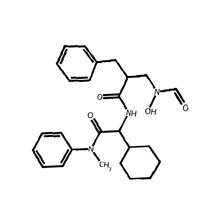 CN(C(=O)C(NC(=O)C(Cc1ccccc1)CN(O)C=O)C1CCCCC1)c1ccccc1